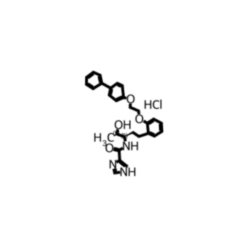 C[C@H](O)[C@@H](CCc1ccccc1OCCOc1ccc(-c2ccccc2)cc1)NC(=O)c1c[nH]cn1.Cl